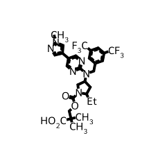 CCC1CC(N(Cc2cc(C(F)(F)F)cc(C(F)(F)F)c2)c2ncc(-c3cnn(C)c3)cn2)CN1C(=O)OCC(C)(C)C(=O)O